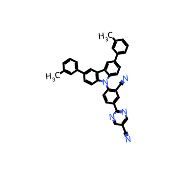 Cc1cccc(-c2ccc3c(c2)c2cc(-c4cccc(C)c4)ccc2n3-c2ccc(-c3ncc(C#N)cn3)cc2C#N)c1